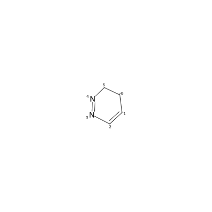 [C]1C=CN=NC1